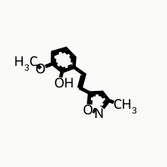 COc1cccc(C=Cc2cc(C)no2)c1O